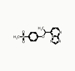 CC(Oc1ccc(S(C)(=O)=O)cc1)c1ccnc2ncnn12